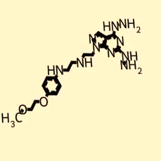 COCCOc1ccc(NCCNCCn2ncc3c(NN)nc(NN)nc32)cc1